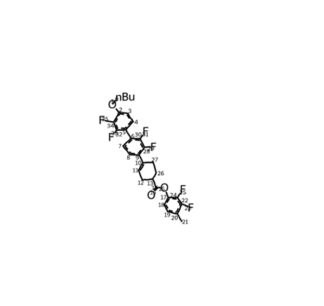 CCCCOc1ccc(-c2ccc(C3=CCC(C(=O)Oc4ccc(C)c(F)c4F)CC3)c(F)c2F)c(F)c1F